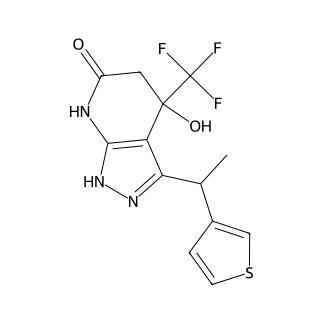 CC(c1ccsc1)c1n[nH]c2c1C(O)(C(F)(F)F)CC(=O)N2